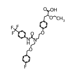 CCOC(Cc1ccc(OCCN(CCOCc2ccc(F)cc2)C(=O)Nc2ccc(C(F)(F)F)cc2)cc1)C(=O)O